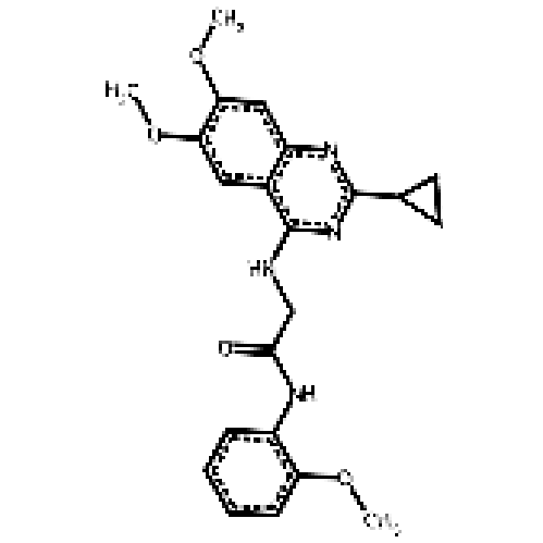 COc1ccccc1NC(=O)CNc1nc(C2CC2)nc2cc(OC)c(OC)cc12